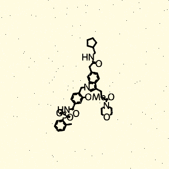 COc1cc(C(=O)NS(=O)(=O)c2ccccc2C)ccc1Cn1cc(CCC(=O)N2CCOCC2)c2ccc(CC(=O)NCC3CCCC3)cc21